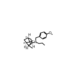 CCCN(Cc1ccc(OC)cc1)[C@@H]1C[C@@H]2C[C@H]([C@H]1C)C2(C)C